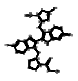 CC(C)(C)OC(=O)N1CCC[C@H]1Cn1c(-c2[nH]c3cc(F)ccc3c2C[C@@H]2C[C@H](F)CN2C(=O)O)nc2cc(F)ccc21